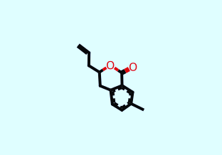 C=CCC1Cc2ccc(C)cc2C(=O)O1